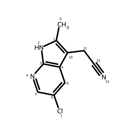 Cc1[nH]c2ncc(Cl)cc2c1CC#N